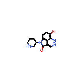 O=C1c2cnnc3c(Br)ccc(c23)N1C1CCCNC1